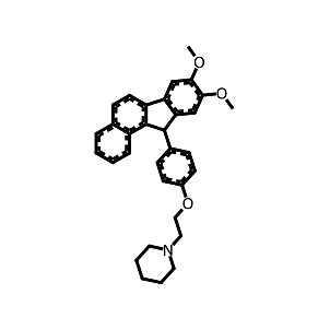 COc1cc2c(cc1OC)C(c1ccc(OCCN3CCCCC3)cc1)c1c-2ccc2ccccc12